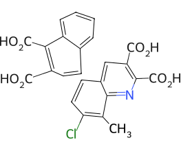 Cc1c(Cl)ccc2cc(C(=O)O)c(C(=O)O)nc12.O=C(O)c1ccc2ccccc2c1C(=O)O